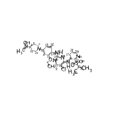 CCOc1cc(N2CCC(N(C)C)CC2)ccc1Nc1ncc(Cl)c(Nc2cccnc2S(=O)(=O)C(C)C)n1